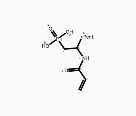 C=CC(=O)NC(CCCCC)CP(=O)(O)O